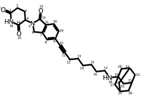 O=C1CCC(N2Cc3cc(C#CCCCCCCNC45CC6CC(CC(C6)C4)C5)ccc3C2=O)C(=O)N1